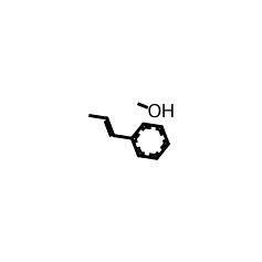 CC=Cc1ccccc1.CO